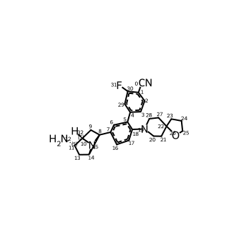 N#Cc1ccc(-c2cc(C34C[C@H]5[C@@H](N)CC3N54)ccc2N2CCC3(CCCO3)CC2)cc1F